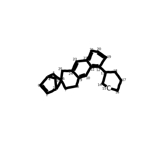 C1=CC2CC1CC21CCc2cc3c(C4CCCCC4)cccc3cc2C1